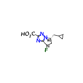 O=C(O)c1nc2n(n1)[C@H](CC1CC1)C[C@@H]2F